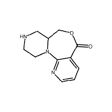 O=C1OCC2CNCCN2c2ncccc21